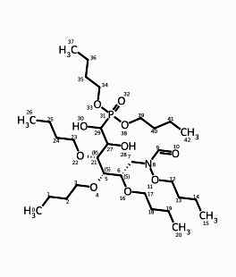 CCCCO[C@@H]([C@H](CN(C=O)OCCCC)OCCCC)[C@H](OCCCC)C(O)C(O)P(=O)(OCCCC)OCCCC